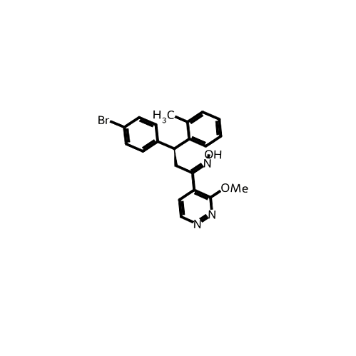 COc1nnccc1/C(C[C@@H](c1ccc(Br)cc1)c1ccccc1C)=N/O